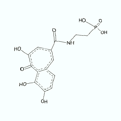 O=C(NCCP(=O)(O)O)c1cc(O)c(=O)c2c(O)c(O)ccc2c1